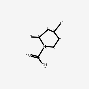 CC1CC(I)CCN1C(=O)O